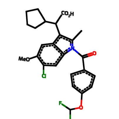 COc1cc2c(C(C(=O)O)C3CCCC3)c(C)n(C(=O)c3ccc(OC(F)F)cc3)c2cc1Cl